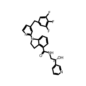 O=C(NC[C@H](O)c1cccnc1)c1cccc2c1CCN2c1cc(Cc2cc(F)c(F)c(F)c2)ccn1